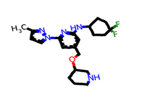 Cc1ccn(-c2cc(COC3CCCNC3)cc(NC3CCC(F)(F)CC3)n2)n1